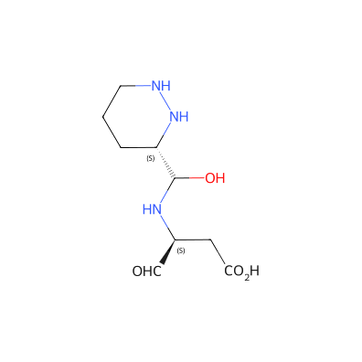 O=C[C@H](CC(=O)O)NC(O)[C@@H]1CCCNN1